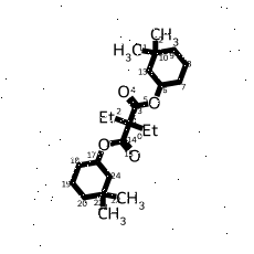 CCC(CC)(C(=O)OC1CCCC(C)(C)C1)C(=O)OC1CCCC(C)(C)C1